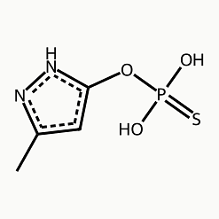 Cc1cc(OP(O)(O)=S)[nH]n1